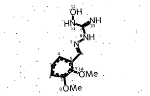 COc1cccc(/C=N/NC(=N)NO)c1OC